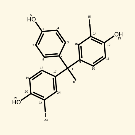 CC(c1ccc(O)cc1)(c1ccc(O)c(I)c1)c1ccc(O)c(I)c1